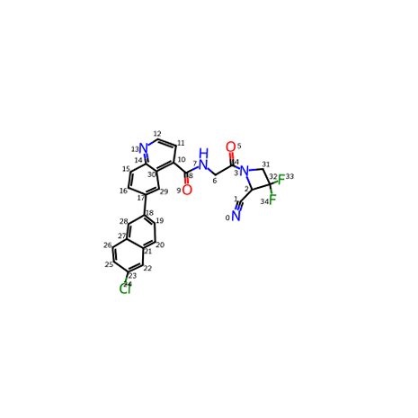 N#CC1N(C(=O)CNC(=O)c2ccnc3ccc(-c4ccc5cc(Cl)ccc5c4)cc23)CC1(F)F